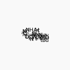 CC(=O)Nc1cc(Oc2cnc3nc(Nc4nn([C@@H]5CCOC5)c(C(C)(C)C)c4F)n(C)c3c2)ccn1